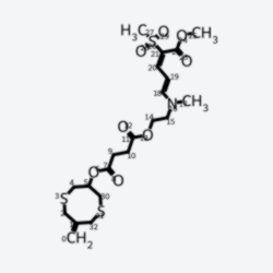 C=C1CSCC(OC(=O)CCC(=O)OCCN(C)/C=C/C=C(\C(=O)OC)S(C)(=O)=O)CSC1